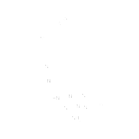 Nc1nc(NCCN2CCN(c3ccc(OC4CC[S+]([O-])CC4)cc3F)CC2)nc2nc(-c3ccco3)nn12